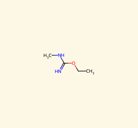 CCOC(=N)NC